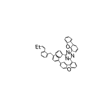 CC/C=C\c1ccccc1Cc1ccc(-c2ccc3oc4cccc(-c5nc(-c6ccccc6)nc(-c6cccc7c6oc6ccccc67)n5)c4c3c2)cc1